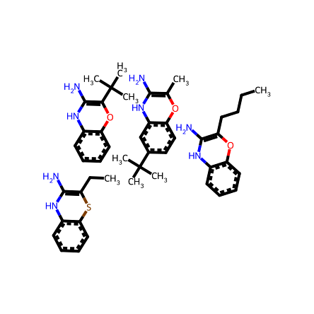 CC(C)(C)C1=C(N)Nc2ccccc2O1.CC1=C(N)Nc2cc(C(C)(C)C)ccc2O1.CCC1=C(N)Nc2ccccc2S1.CCCCC1=C(N)Nc2ccccc2O1